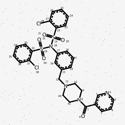 O=C(c1cccnc1)N1CCN(Cc2cccc(N(S(=O)(=O)c3ccccc3Cl)S(=O)(=O)c3ccccc3Cl)c2)CC1